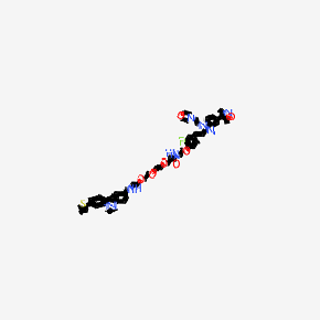 CCn1c2ccc(CNCCOCCOCCOCCC(=O)NCCOc3ccc(CCc4nc5cc(-c6c(C)noc6C)ccc5n4CCN4CCOCC4)cc3F)cc2c2ccc(-c3cc(C)cs3)cc21